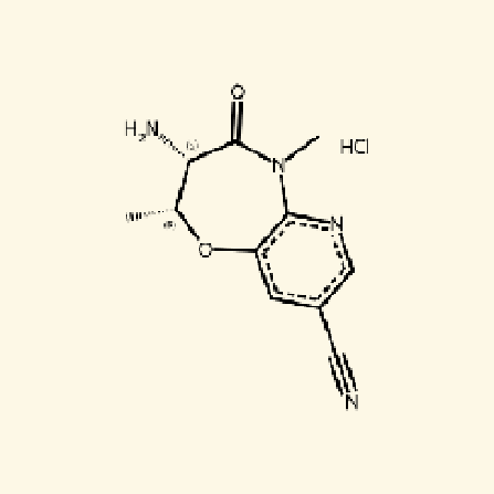 C[C@H]1Oc2cc(C#N)cnc2N(C)C(=O)[C@H]1N.Cl